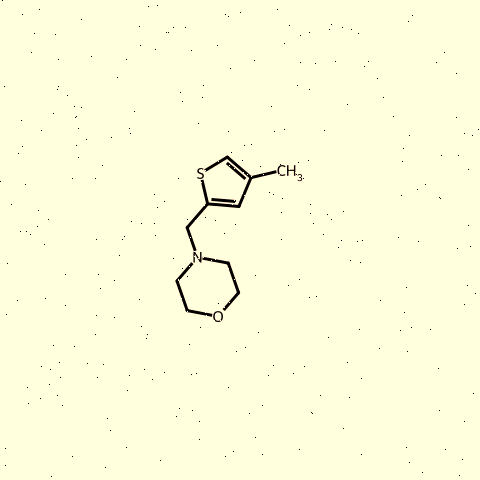 Cc1csc(CN2CCOCC2)c1